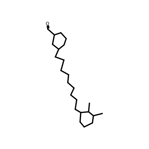 CC1CCCC(CCCCCCCCCC2CCCC(C=O)C2)C1C